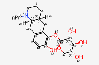 CCCN1CCC[C@@H]2Cc3c(ccc(O)c3O[C@@H]3OC[C@@H](O)[C@H](O)[C@H]3O)C[C@H]21